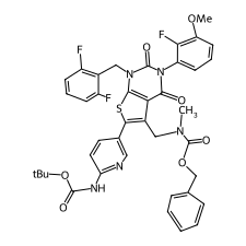 COc1cccc(-n2c(=O)c3c(CN(C)C(=O)OCc4ccccc4)c(-c4ccc(NC(=O)OC(C)(C)C)nc4)sc3n(Cc3c(F)cccc3F)c2=O)c1F